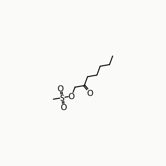 CCCCCC(=O)COS(C)(=O)=O